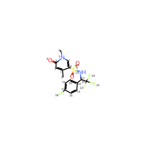 Cc1cc(=O)n(C)cc1S(=O)(=O)NC(c1ccc(F)cc1)C(F)(F)F